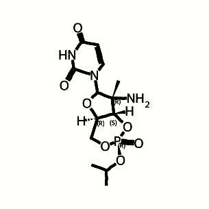 CC(C)O[P@@]1(=O)OC[C@H]2OC(n3ccc(=O)[nH]c3=O)[C@](C)(N)[C@@H]2O1